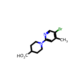 Cc1cc(N2CCC(C(=O)O)CC2)ncc1Br